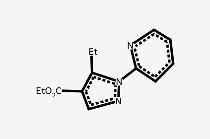 CCOC(=O)c1cnn(-c2ccccn2)c1CC